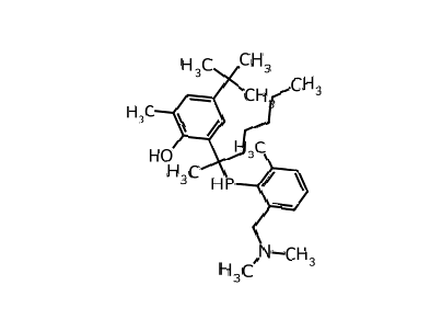 CCCCCC(C)(Pc1c(C)cccc1CN(C)C)c1cc(C(C)(C)C)cc(C)c1O